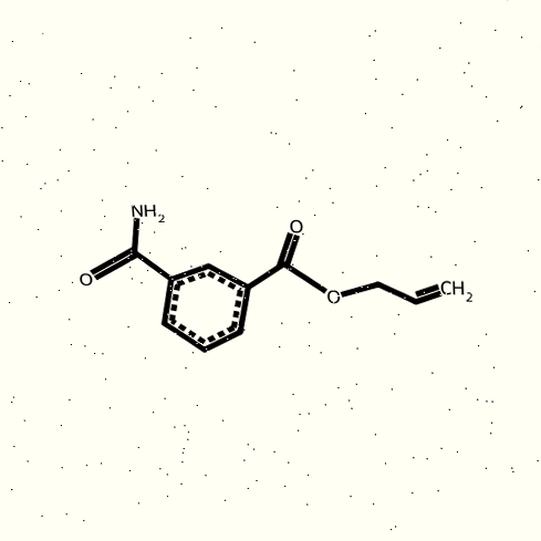 C=CCOC(=O)c1cccc(C(N)=O)c1